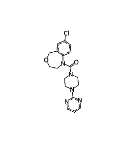 O=C(N1CCN(c2ncccn2)CC1)N1CCOCc2cc(Cl)ccc21